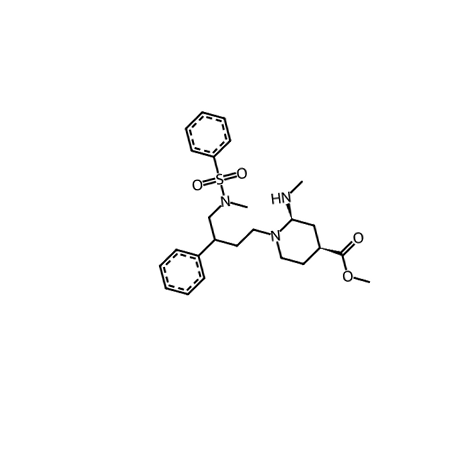 CN[C@H]1C[C@@H](C(=O)OC)CCN1CCC(CN(C)S(=O)(=O)c1ccccc1)c1ccccc1